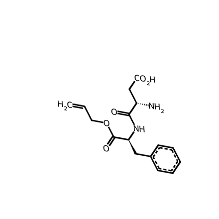 C=CCOC(=O)[C@H](Cc1ccccc1)NC(=O)[C@@H](N)CC(=O)O